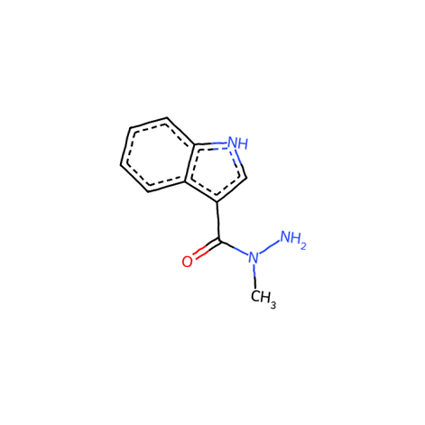 CN(N)C(=O)c1c[nH]c2ccccc12